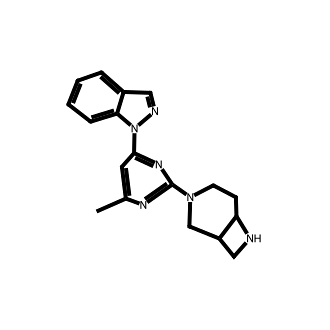 Cc1cc(-n2ncc3ccccc32)nc(N2CCC3NCC3C2)n1